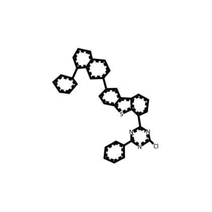 Clc1nc(-c2ccccc2)nc(-c2cccc3c2sc2ccc(-c4ccc5cccc(-c6ccccc6)c5c4)cc23)n1